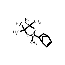 CC1(C)O[Si](C)(C2CC3C=CC2C3)OC1(C)C